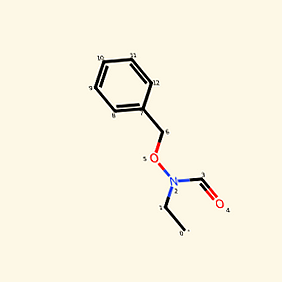 [CH2]CN(C=O)OCc1ccccc1